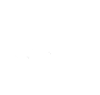 CCN1CCCN2c3ccc(C(F)(F)F)cc3CC2C1=O